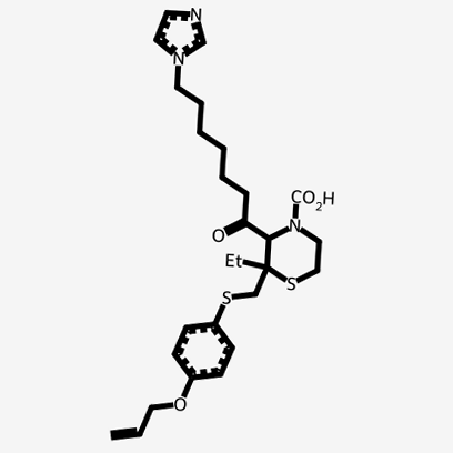 C=CCOc1ccc(SCC2(CC)SCCN(C(=O)O)C2C(=O)CCCCCCn2ccnc2)cc1